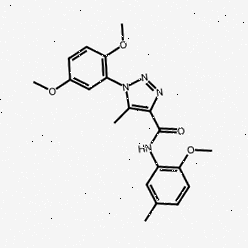 COc1ccc(OC)c(-n2nnc(C(=O)Nc3cc(C)ccc3OC)c2C)c1